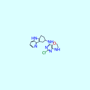 Clc1nc2c(c(NC3CCc4[nH]c5cccnc5c4C3)n1)OCCN2